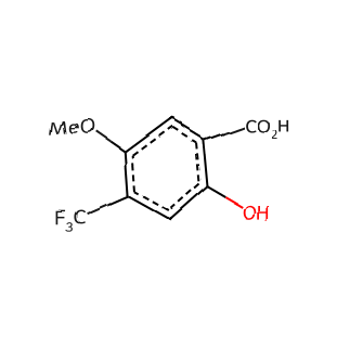 COc1cc(C(=O)O)c(O)cc1C(F)(F)F